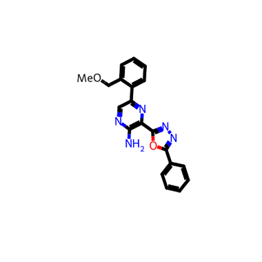 COCc1ccccc1-c1cnc(N)c(-c2nnc(-c3ccccc3)o2)n1